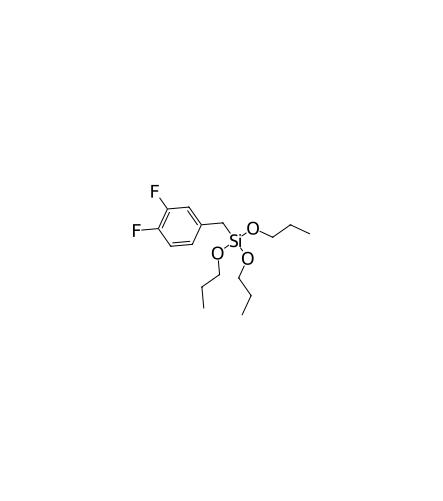 CCCO[Si](Cc1ccc(F)c(F)c1)(OCCC)OCCC